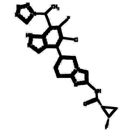 CC(c1c(F)c(Cl)c(-c2ccc3nc(NC(=O)[C@@H]4C[C@@H]4F)cn3c2)c2cn[nH]c12)n1cnnn1